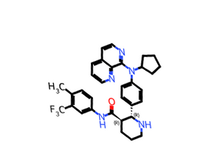 Cc1ccc(NC(=O)[C@@H]2CCCN[C@H]2c2ccc(N(c3nccc4cccnc34)C3CCCC3)cc2)cc1C(F)(F)F